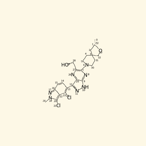 C[C@H]1CC2(CCN(c3nc4[nH]nc(-c5ccc6nn(C)c(Cl)c6c5Cl)c4nc3CO)CC2)CO1